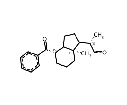 C[C@H](C=O)C1CCC2[C@@H](C(=O)c3ccccc3)CCC[C@]12C